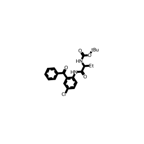 CCC(NC(=O)OC(C)(C)C)C(=O)Nc1ccc(Cl)cc1C(=O)c1ccccc1